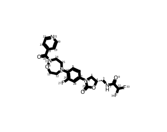 O=C(NC[C@H]1CN(c2ccc(N3CCON(C(=O)c4ccncc4)CC3)c(F)c2)C(=O)O1)C(F)F